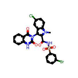 Cn1c(C(=O)NS(=O)(=O)c2cccc(Br)c2)c(-n2c(=O)[nH]c3ccccc3c2=O)c2cc(Cl)ccc21